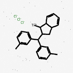 Cc1cccc(C(c2cccc(C)c2)C2CC3C=CC=CC3[CH]2[Ti+3])c1.[Cl-].[Cl-].[Cl-]